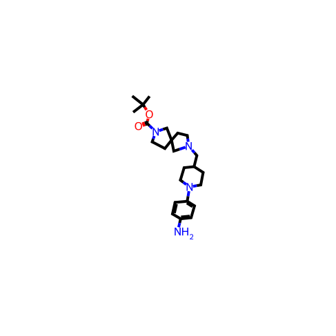 CC(C)(C)OC(=O)N1CCC2(CCN(CC3CCN(c4ccc(N)cc4)CC3)C2)C1